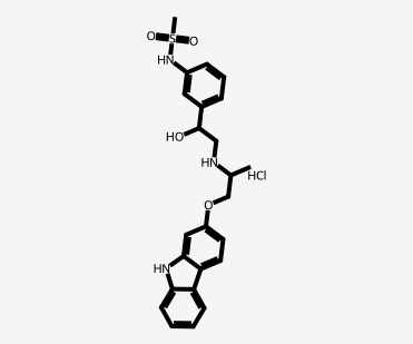 CC(COc1ccc2c(c1)[nH]c1ccccc12)NCC(O)c1cccc(NS(C)(=O)=O)c1.Cl